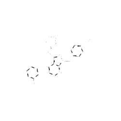 CCOC(=O)c1cccc(Oc2ccnc3c2c(N[C@@H]2CCN(C(C)(C)C)C2)nn3Cc2ccc(OC)cc2)c1